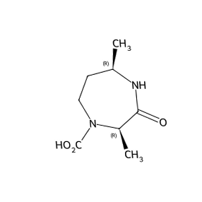 C[C@@H]1CCN(C(=O)O)[C@H](C)C(=O)N1